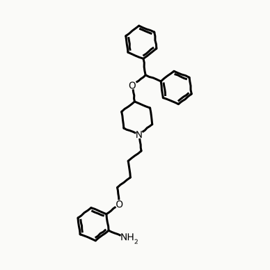 Nc1ccccc1OCCCCN1CCC(OC(c2ccccc2)c2ccccc2)CC1